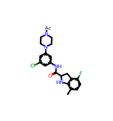 CC(=O)N1CCN(c2cc(Cl)cc(NC(=O)C3Cc4c(F)ccc(C)c4N3)c2)CC1